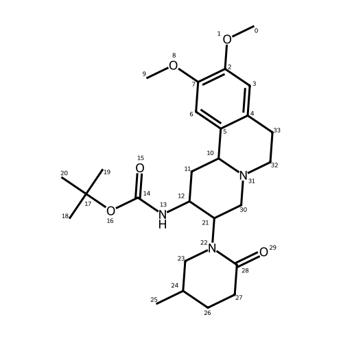 COc1cc2c(cc1OC)C1CC(NC(=O)OC(C)(C)C)C(N3CC(C)CCC3=O)CN1CC2